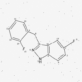 Fc1ccc2[nH]nc(Cc3ccccc3F)c2c1